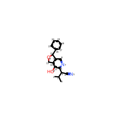 CC(C)C(C#N)c1ncc2c(c1O)COC2c1ccccc1